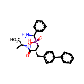 C[C@H](NC(=O)[C@H](Cc1ccc(-c2ccccc2)cc1)CP(=O)(O)[C@@H](N)c1ccccc1)C(=O)O